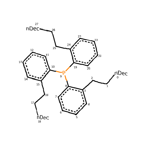 CCCCCCCCCCCCc1ccccc1P(c1ccccc1CCCCCCCCCCCC)c1ccccc1CCCCCCCCCCCC